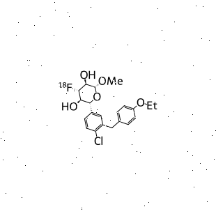 CCOc1ccc(Cc2cc([C@H]3O[C@@H](OC)[C@H](O)[C@@H]([18F])[C@@H]3O)ccc2Cl)cc1